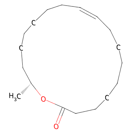 C[C@@H]1CCCCCC/C=C\CCCCCCCC(=O)O1